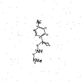 CNCNCC(=O)c1ccc(C(C)=O)cc1